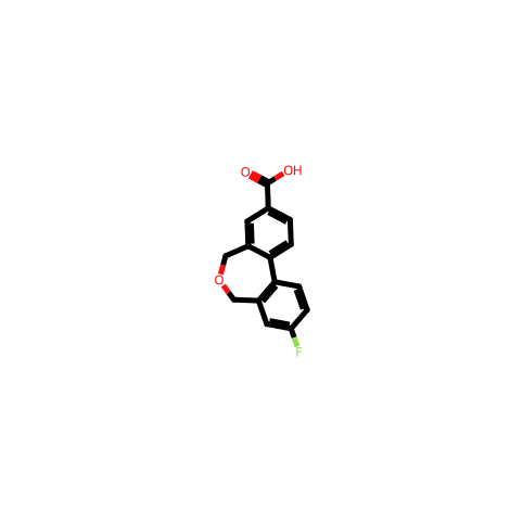 O=C(O)c1ccc2c(c1)COCc1cc(F)ccc1-2